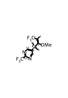 CO/C(=C(\C)C(F)(F)F)[Si](C)(C)c1cnc(C(F)(F)F)nc1